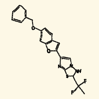 CC(F)(F)C1Nn2cc(-c3cc4ccc(OCc5ccccc5)cc4o3)nc2S1